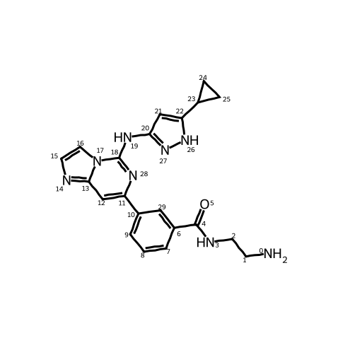 NCCNC(=O)c1cccc(-c2cc3nccn3c(Nc3cc(C4CC4)[nH]n3)n2)c1